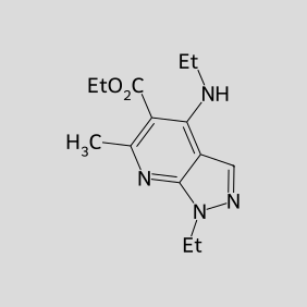 CCNc1c(C(=O)OCC)c(C)nc2c1cnn2CC